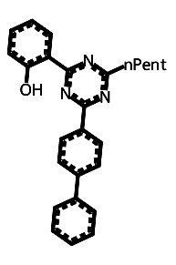 CCCCCc1nc(-c2ccc(-c3ccccc3)cc2)nc(-c2ccccc2O)n1